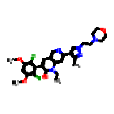 CCN1c2cc(-c3cn(CCN4CCOCC4)nc3C)ncc2C=C(c2c(Cl)c(OC)cc(OC)c2Cl)C1O